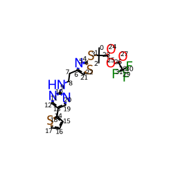 CC(C)(Sc1nc(CCNc2ncc(-c3cccs3)cn2)cs1)C(=O)OC(=O)C(F)(F)F